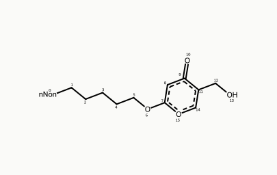 CCCCCCCCCCCCCCOc1cc(=O)c(CO)co1